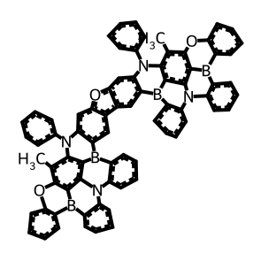 Cc1c2c3c4c5c1N(c1ccccc1)c1cc6oc7cc8c(cc7c6cc1B5c1ccccc1N4c1ccccc1B3c1ccccc1O2)B1c2ccccc2N2c3ccccc3B3c4ccccc4Oc4c(C)c(c1c2c43)N8c1ccccc1